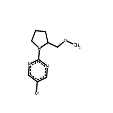 COCC1CCCN1c1ncc(Br)cn1